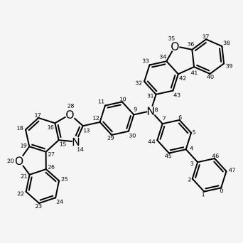 c1ccc(-c2ccc(N(c3ccc(-c4nc5c(ccc6oc7ccccc7c65)o4)cc3)c3ccc4oc5ccccc5c4c3)cc2)cc1